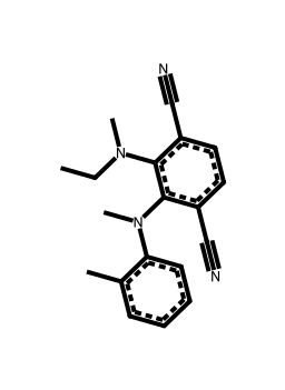 CCN(C)c1c(C#N)ccc(C#N)c1N(C)c1ccccc1C